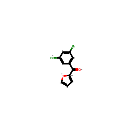 O=C(c1cc(Br)cc(Br)c1)c1ccco1